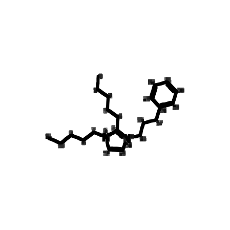 CCCCCc1n(CCCCC)cc[n+]1CCCc1ccccc1